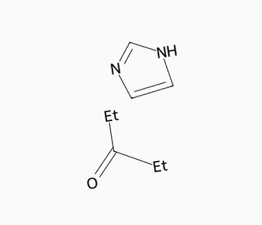 CCC(=O)CC.c1c[nH]cn1